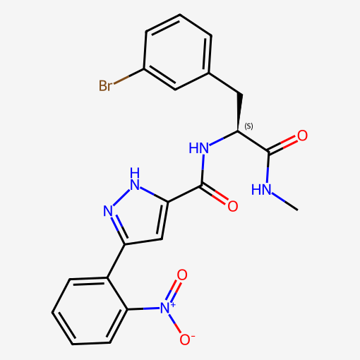 CNC(=O)[C@H](Cc1cccc(Br)c1)NC(=O)c1cc(-c2ccccc2[N+](=O)[O-])n[nH]1